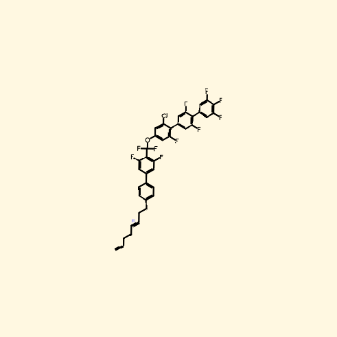 C=CCC/C=C/CCc1ccc(-c2cc(F)c(C(F)(F)Oc3cc(F)c(-c4cc(F)c(-c5cc(F)c(F)c(F)c5)c(F)c4)c(Cl)c3)c(F)c2)cc1